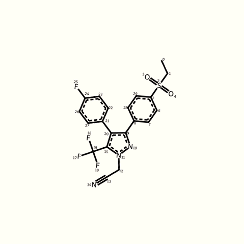 CCS(=O)(=O)c1ccc(-c2nn(CC#N)c(C(F)(F)F)c2-c2ccc(F)cc2)cc1